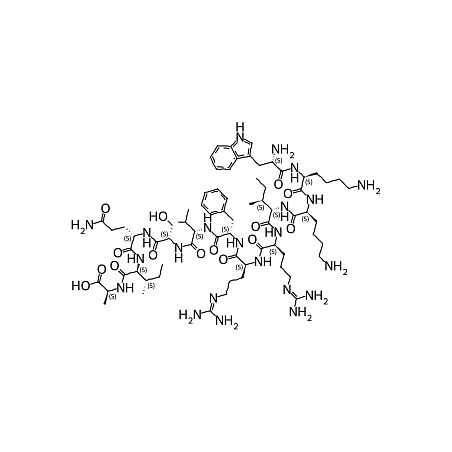 CC[C@H](C)[C@H](NC(=O)[C@H](CCC(N)=O)NC(=O)[C@H](CO)NC(=O)[C@@H](NC(=O)[C@H](Cc1ccccc1)NC(=O)[C@H](CCCN=C(N)N)NC(=O)[C@H](CCCN=C(N)N)NC(=O)[C@@H](NC(=O)[C@H](CCCCN)NC(=O)[C@H](CCCCN)NC(=O)[C@@H](N)Cc1c[nH]c2ccccc12)[C@@H](C)CC)C(C)C)C(=O)N[C@@H](C)C(=O)O